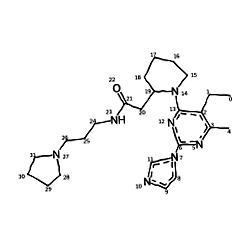 CCc1c(C)nc(-n2ccnc2)nc1N1CCCCC1CC(=O)NCCCN1CCCC1